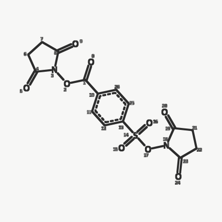 O=C(ON1C(=O)CCC1=O)c1ccc(S(=O)(=O)ON2C(=O)CCC2=O)cc1